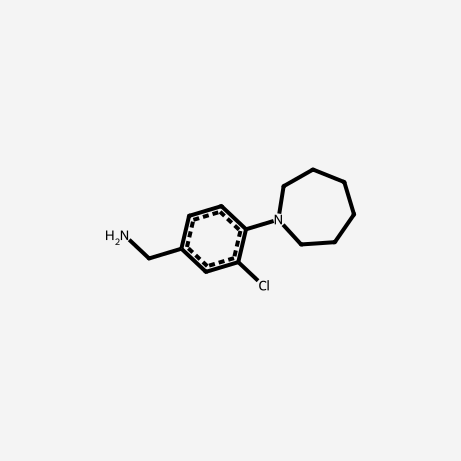 NCc1ccc(N2CCCCCC2)c(Cl)c1